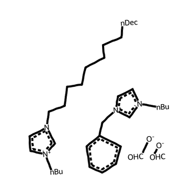 CCCCCCCCCCCCCCCCCCn1cc[n+](CCCC)c1.CCCCn1cc[n+](Cc2ccccc2)c1.O=C[O-].O=C[O-]